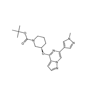 Cn1cc(-c2cn3nccc3c(O[C@@H]3CCCN(C(=O)OC(C)(C)C)C3)n2)cn1